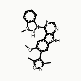 COc1cc2c(cc1-c1c(C)noc1C)[nH]c1ncnc(N3NN(C)c4ccccc43)c12